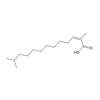 CC(=CCCCCCCCCC(C)C)C(=O)O